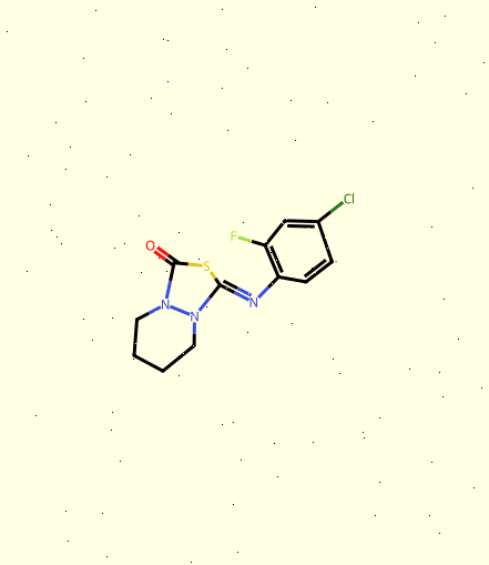 O=c1sc(=Nc2c[c]c(Cl)cc2F)n2n1CCCC2